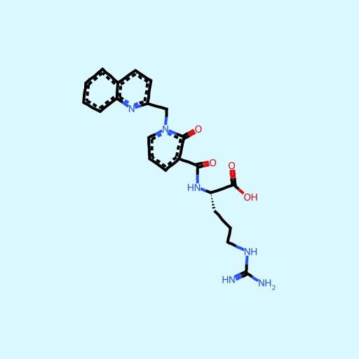 N=C(N)NCCC[C@H](NC(=O)c1cccn(Cc2ccc3ccccc3n2)c1=O)C(=O)O